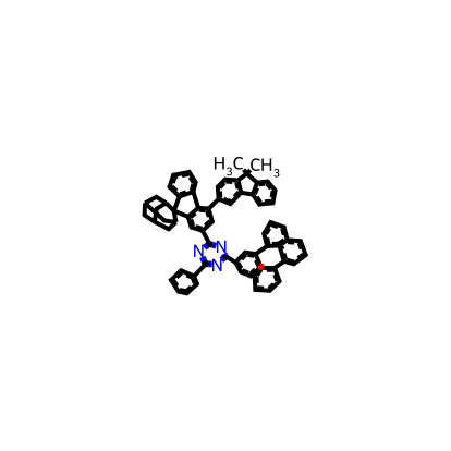 CC1(C)c2ccccc2-c2cc(-c3cc(-c4nc(-c5ccccc5)nc(-c5cccc(-c6cccc7cccc(-c8ccccc8)c67)c5)n4)cc4c3-c3ccccc3C43C4CC5CC(C4)CC3C5)ccc21